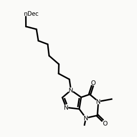 CCCCCCCCCCCCCCCCCCn1cnc2c1c(=O)n(C)c(=O)n2C